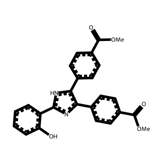 COC(=O)c1ccc(-c2nc(-c3ccccc3O)[nH]c2-c2ccc(C(=O)OC)cc2)cc1